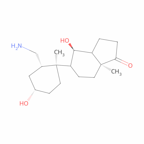 C[C@]12CCC([C@@]3(C)CC[C@H](O)C[C@@H]3CN)[C@@H](O)C1CCC2=O